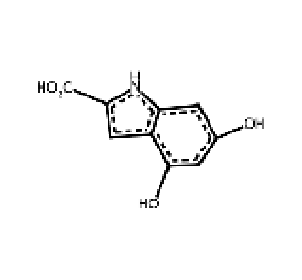 O=C(O)c1cc2c(O)cc(O)cc2[nH]1